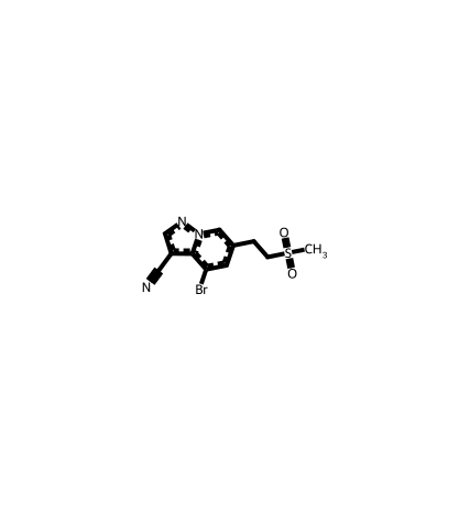 CS(=O)(=O)CCc1cc(Br)c2c(C#N)cnn2c1